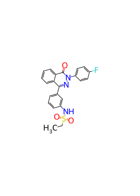 CCS(=O)(=O)Nc1cccc(-c2nn(-c3ccc(F)cc3)c(=O)c3ccccc23)c1